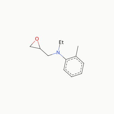 CCN(CC1CO1)c1ccccc1C